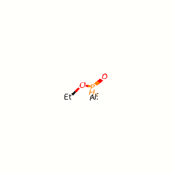 CCO[PH2]=O.[Al]